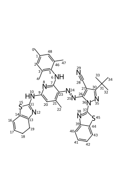 Cc1cc(C)c(Nc2nc(Nc3nc4c(s3)C=CCC4)cc(C)c2N=Nc2c(C#N)c(C(C)(C)C)nn2-c2nc3ccccc3s2)c(C)c1